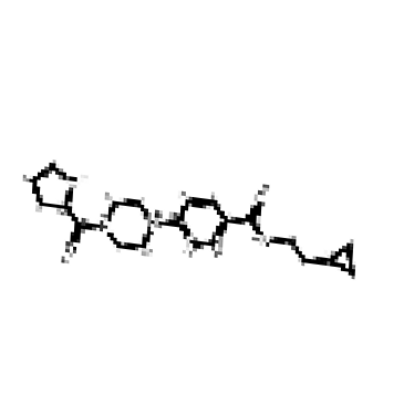 O=C(NCCC1CC1)c1ccc(N2CCN(C(=O)C3CCCO3)CC2)nn1